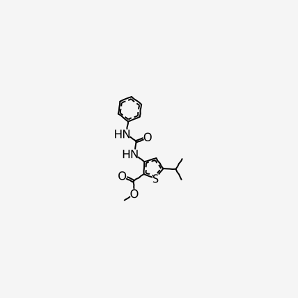 COC(=O)c1sc(C(C)C)cc1NC(=O)Nc1ccccc1